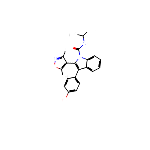 Cc1noc(C)c1-c1c(-c2ccc(O)cc2)c2ccccc2n1C(=O)NC(C)C